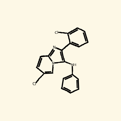 Clc1ccc2nc(-c3ccccc3Cl)c(Nc3ccccc3)n2c1